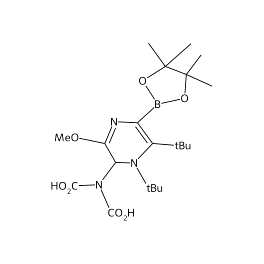 COC1=NC(B2OC(C)(C)C(C)(C)O2)=C(C(C)(C)C)N(C(C)(C)C)C1N(C(=O)O)C(=O)O